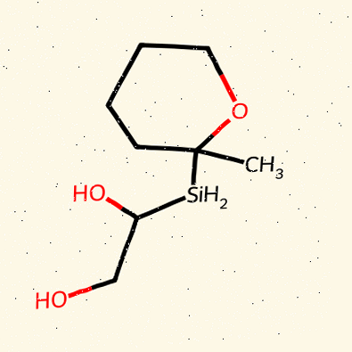 CC1([SiH2]C(O)CO)CCCCO1